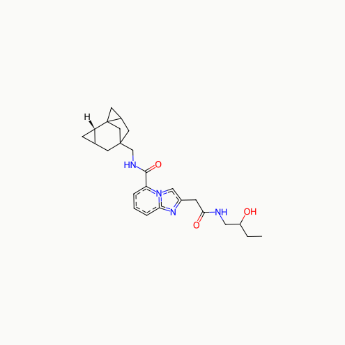 CCC(O)CNC(=O)Cc1cn2c(C(=O)NCC34CC5C[C@@H]5C5(CC5C3)C4)cccc2n1